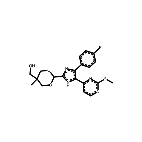 CSc1nccc(-c2[nH]c(C3OCC(C)(CO)CO3)nc2-c2ccc(F)cc2)n1